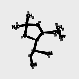 CC1(C)O[C@@H]([C@@H](O)CO)[C@H](C=O)O1.CCCC